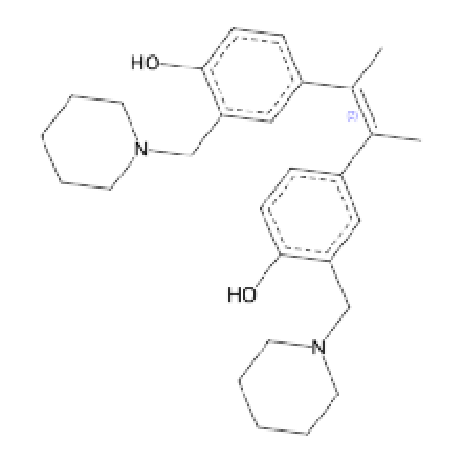 C/C(=C(\C)c1ccc(O)c(CN2CCCCC2)c1)c1ccc(O)c(CN2CCCCC2)c1